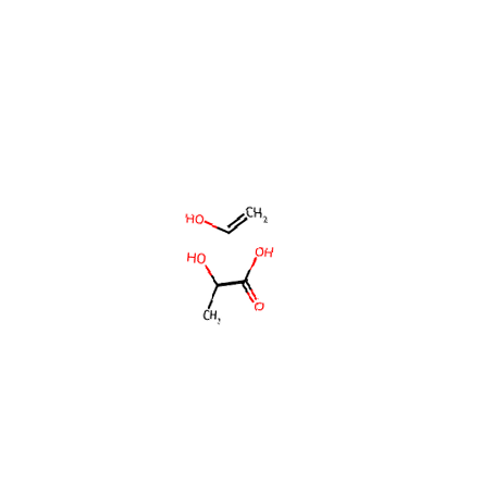 C=CO.CC(O)C(=O)O